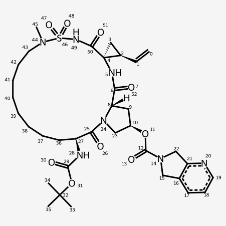 C=C[C@@H]1C[C@@]12NC(=O)[C@@H]1C[C@@H](OC(=O)N3Cc4cccnc4C3)CN1C(=O)[C@@H](NC(=O)OC(C)(C)C)CCCCCCCCN(C)S(=O)(=O)NC2=O